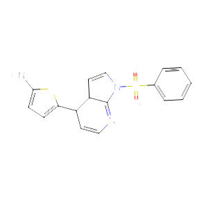 O=[N+]([O-])c1ccc(C2C=CN=C3C2C=CN3S(=O)(=O)c2ccccc2)s1